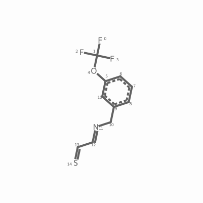 FC(F)(F)Oc1cccc(CN=CC=S)c1